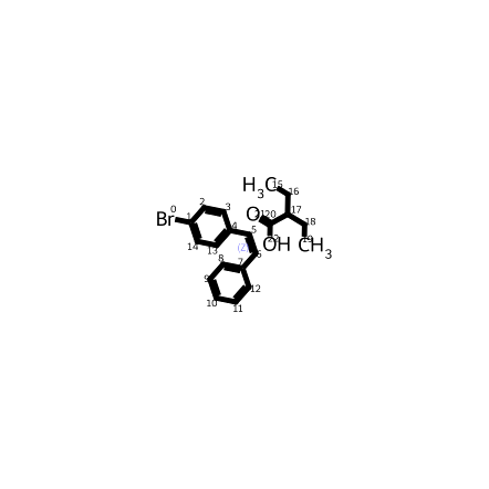 Brc1ccc(/C=C\c2ccccc2)cc1.CCC(CC)C(=O)O